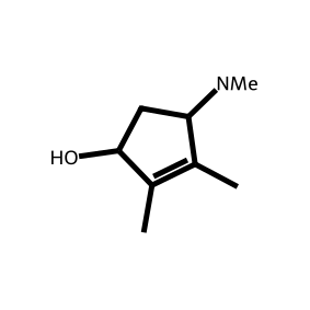 CNC1CC(O)C(C)=C1C